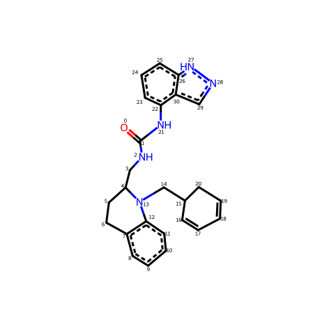 O=C(NCC1CCc2ccccc2N1CC1C=CC=CC1)Nc1cccc2[nH]ncc12